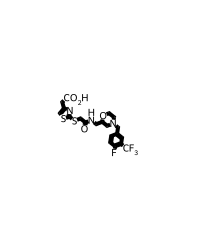 O=C(O)Cc1csc(SCC(=O)NCC2CN(Cc3ccc(F)c(C(F)(F)F)c3)CCO2)n1